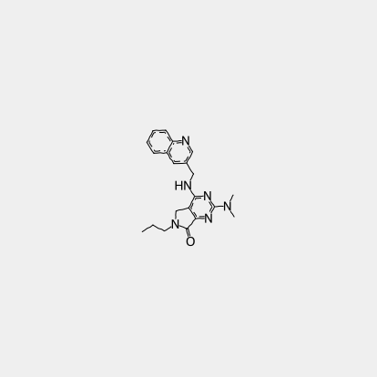 CCCN1Cc2c(NCc3cnc4ccccc4c3)nc(N(C)C)nc2C1=O